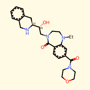 CCN1CCN(C[C@@H](O)[C@@H]2Cc3ccccc3CN2)C(=O)c2ccc(C(=O)N3CCOCC3)cc21